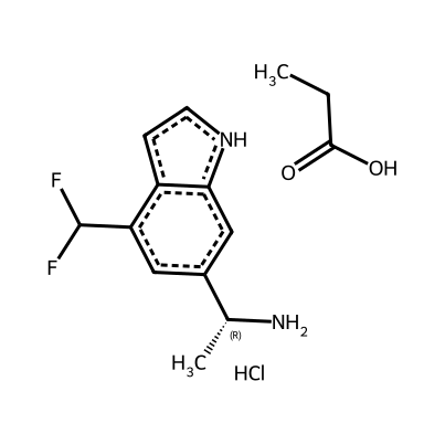 CCC(=O)O.C[C@@H](N)c1cc(C(F)F)c2cc[nH]c2c1.Cl